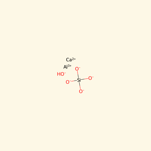 [Al+3].[Ca+2].[O-][Si]([O-])([O-])[O-].[OH-]